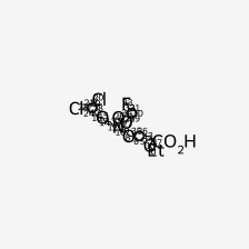 CCOC(Cc1ccc(OCCN(CCCOCc2cc(Cl)cc(Cl)c2)C(=O)Oc2cccc(F)c2)cc1)C(=O)O